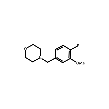 COc1cc(CN2CCOCC2)ccc1F